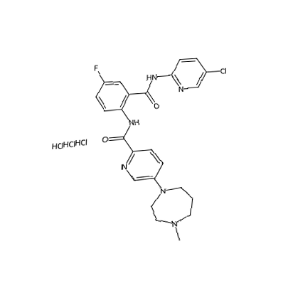 CN1CCCN(c2ccc(C(=O)Nc3ccc(F)cc3C(=O)Nc3ccc(Cl)cn3)nc2)CC1.Cl.Cl.Cl